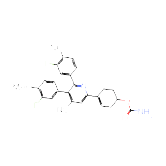 COc1ccc(-c2c(C#N)cc(C3=CCC(OC(N)=O)CC3)nc2-c2ccc(C#N)c(F)c2)cc1F